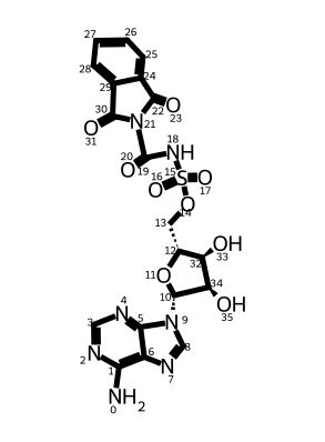 Nc1ncnc2c1ncn2[C@@H]1O[C@H](COS(=O)(=O)NC(=O)N2C(=O)c3ccccc3C2=O)[C@@H](O)[C@H]1O